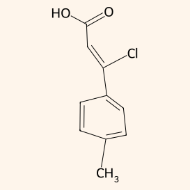 Cc1ccc(/C(Cl)=C/C(=O)O)cc1